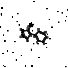 Brc1sncc1-c1ccccc1